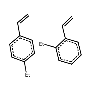 C=Cc1ccc(CC)cc1.C=Cc1ccccc1CC